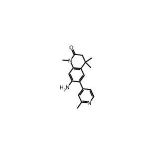 Cc1cc(-c2cc3c(cc2N)N(C)C(=O)CC3(C)C)ccn1